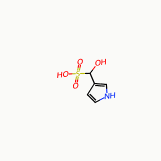 O=S(=O)(O)C(O)c1cc[nH]c1